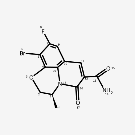 C[C@H]1COc2c(Br)c(F)cc3cc(C(N)=O)c(=O)n1c23